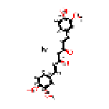 COc1cc(C=CC(=O)CC(=O)C=Cc2ccc(O)c(OC)c2)ccc1O.[K]